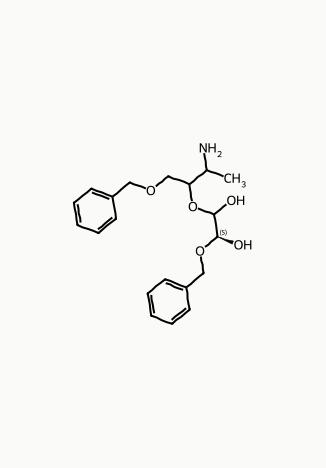 CC(N)C(COCc1ccccc1)OC(O)[C@@H](O)OCc1ccccc1